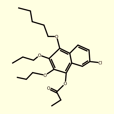 CCCCCOc1c(OCCC)c(OCCC)c(OC(=O)CC)c2cc(Cl)ccc12